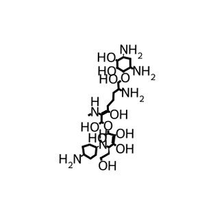 CN/C(=C(/O)CCCC(N)[C@H](O)O[C@@H]1C(N)C[C@@H](N)C(O)C1O)C(O)O[C@@H](O)/C(O)=C(/O)[C@@H](CCO)N[C@H]1CC[C@H](N)CC1